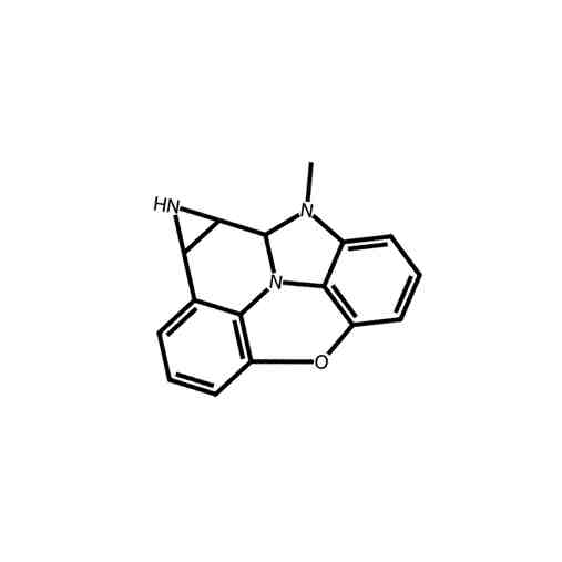 CN1c2cccc3c2N2c4c(cccc4C4NC4C12)O3